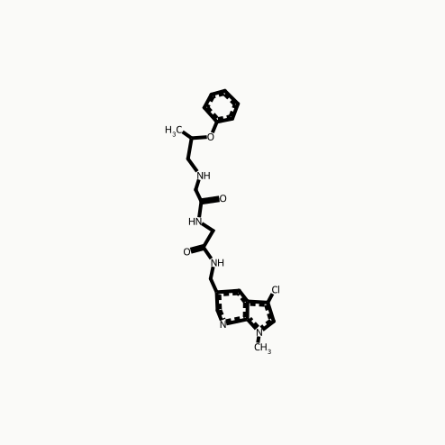 CC(CNCC(=O)NCC(=O)NCc1cnc2c(c1)c(Cl)cn2C)Oc1ccccc1